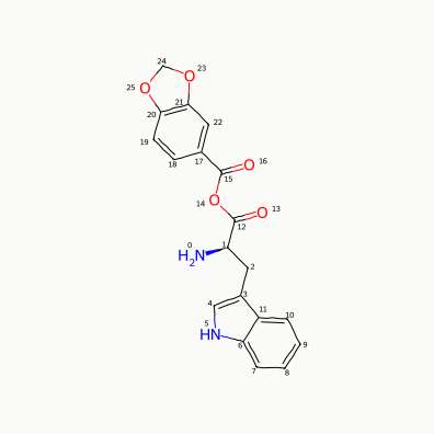 N[C@H](Cc1c[nH]c2ccccc12)C(=O)OC(=O)c1ccc2c(c1)OCO2